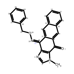 Cn1cnc2c1C(=O)c1cc3ccccc3cc1/C2=N\OCc1ccccc1